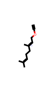 C#COC/C=C(\C)CCC=C(C)C